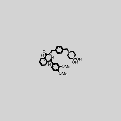 COc1ccc(C2=NN(Cc3ccc(CN4CCS(O)(O)CC4)cc3)C(=O)[C@H]3CC=CC[C@@H]23)cc1OC